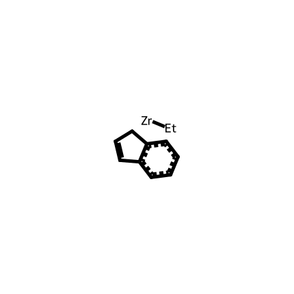 C1=Cc2ccccc2C1.C[CH2][Zr]